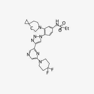 CCS(=O)(=O)Nc1ccc(-n2cc(-c3cncc(N4CCC(F)(F)CC4)n3)nn2)c(N2CCC3(CC2)CC3)c1